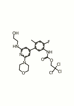 Cc1cc(F)c(NC(=O)OCC(Cl)(Cl)Cl)cc1-c1cc(NCCO)nc(N2CCOCC2)c1